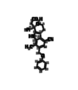 CCCC1(CC(=O)O)OCCc2c1[nH]c1c(C)c(COc3ccccc3)cc(C#N)c21